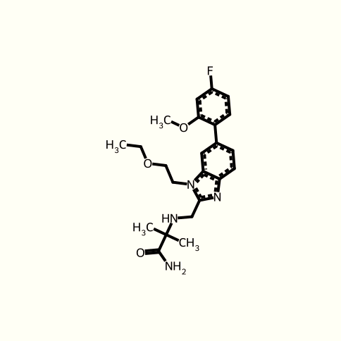 CCOCCn1c(CNC(C)(C)C(N)=O)nc2ccc(-c3ccc(F)cc3OC)cc21